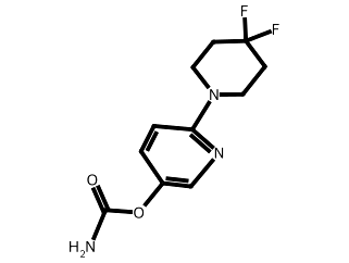 NC(=O)Oc1ccc(N2CCC(F)(F)CC2)nc1